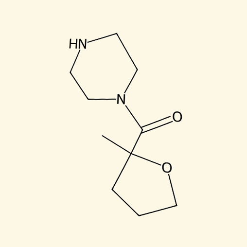 CC1(C(=O)N2CCNCC2)CCCO1